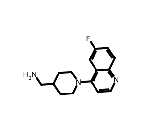 NCC1CCN(c2ccnc3ccc(F)cc23)CC1